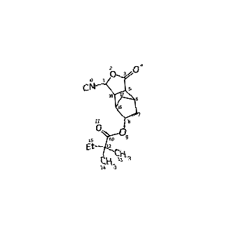 [C-]#[N+]C1OC(=O)C2C3CC(OC(=O)C(C)(C)CC)C(C3)C12